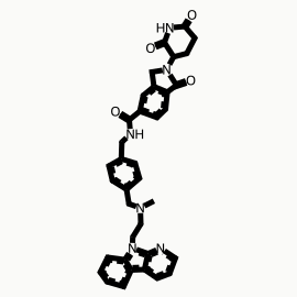 CN(CCn1c2ccccc2c2cccnc21)Cc1ccc(CNC(=O)c2ccc3c(c2)CN(C2CCC(=O)NC2=O)C3=O)cc1